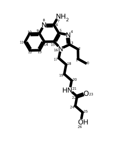 CCCc1nc2c(N)nc3ccccc3c2n1CCCCNC(=O)CCO